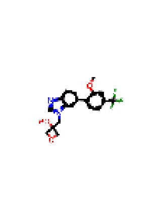 COc1cc(C(F)(F)F)ccc1-c1ccc2ncn(CC3(O)COC3)c2c1